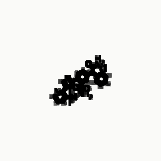 NC(=O)C(c1ccc(-n2cc(-c3ncccc3C(F)(F)F)cn2)c(S(N)(=O)=O)c1)c1ccccc1Cl